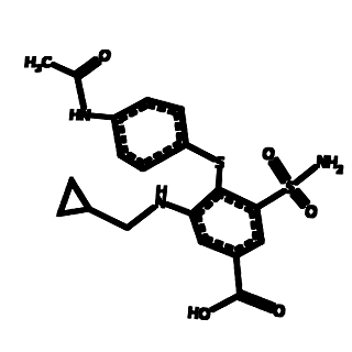 CC(=O)Nc1ccc(Sc2c(NCC3CC3)cc(C(=O)O)cc2S(N)(=O)=O)cc1